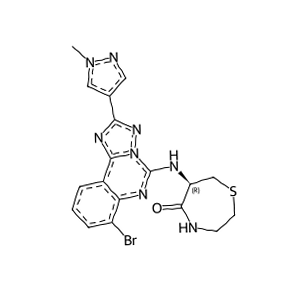 Cn1cc(-c2nc3c4cccc(Br)c4nc(N[C@H]4CSCCNC4=O)n3n2)cn1